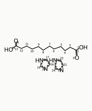 O=C(O)CCCCCCCCCCC(=O)O.c1c[nH]cn1.c1c[nH]cn1